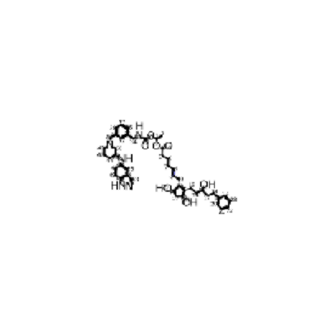 CC(OC(=O)CCC/C=C/C[C@@H]1[C@@H](CC[C@@H](O)CCc2ccccc2)[C@H](O)C[C@@H]1O)OC(=O)NCc1cccc(CN2CCC[C@H](Nc3ccc4[nH]ncc4c3)C2)c1